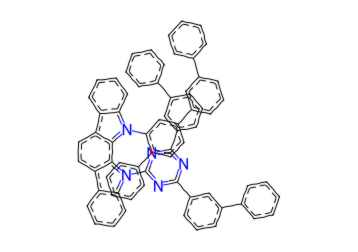 c1ccc(-c2cccc(-c3ccc(-c4ccccc4)c(-n4c5ccccc5c5ccc6c7ccccc7n(-c7nc(-c8cccc(-c9ccccc9)c8)nc(-c8cccc(-c9ccccc9)c8)n7)c6c54)c3)c2)cc1